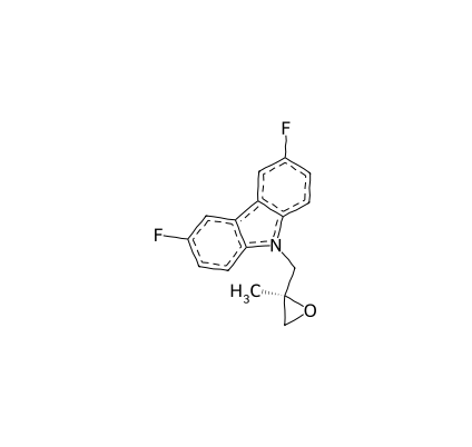 C[C@@]1(Cn2c3ccc(F)cc3c3cc(F)ccc32)CO1